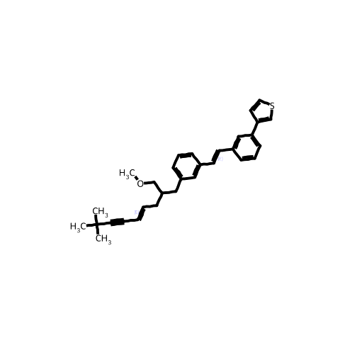 COCC(C/C=C/C#CC(C)(C)C)Cc1cccc(/C=C/c2cccc(-c3ccsc3)c2)c1